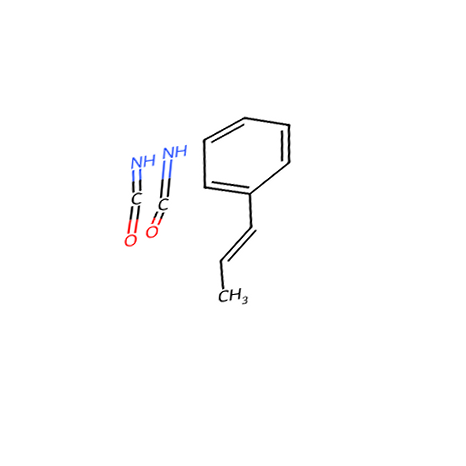 CC=Cc1ccccc1.N=C=O.N=C=O